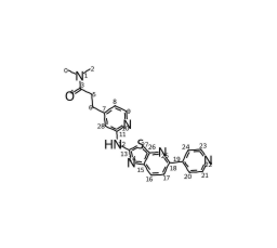 CN(C)C(=O)CCc1ccnc(Nc2nc3ccc(-c4ccncc4)nc3s2)c1